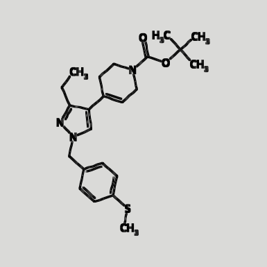 CCc1nn(Cc2ccc(SC)cc2)cc1C1=CCN(C(=O)OC(C)(C)C)CC1